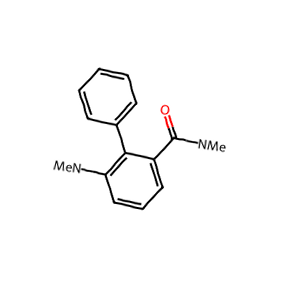 CNC(=O)c1cccc(NC)c1-c1ccccc1